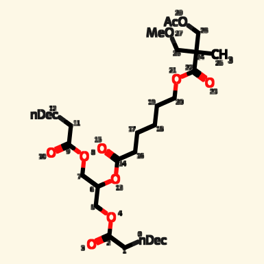 CCCCCCCCCCCC(=O)OCC(COC(=O)CCCCCCCCCCC)OC(=O)CCCCCOC(=O)C(C)(COC)COC(C)=O